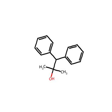 CC(C)(O)C(c1ccccc1)c1ccccc1